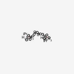 CC(C)c1ccc(N(c2ccc3cc4c(cc3c2)oc2c4ccc3oc4cc5cc(N(c6ccc(C(C)C)cc6)c6cccc7c6C(C)(C)c6ccccc6-7)ccc5cc4c32)c2cccc3c2C(C)(C)c2ccccc2-3)cc1